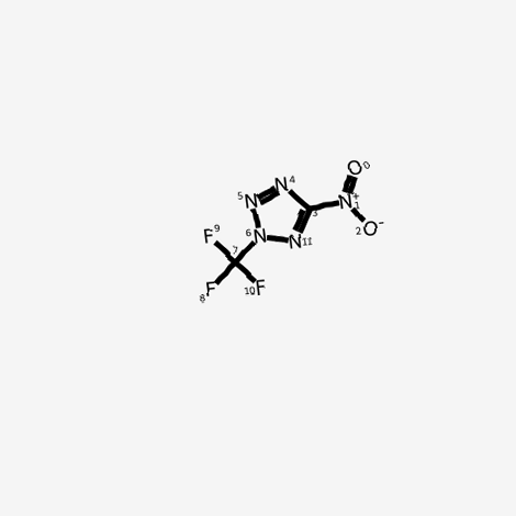 O=[N+]([O-])c1nnn(C(F)(F)F)n1